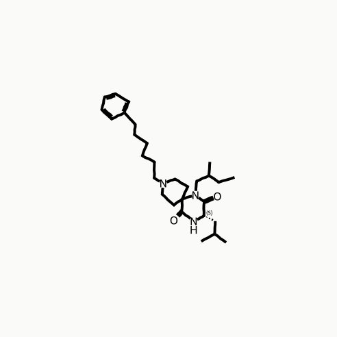 CCC(C)CN1C(=O)[C@H](CC(C)C)NC(=O)C12CCN(CCCCCCc1ccccc1)CC2